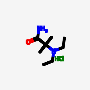 CCN(CC)C(C)(C)C(N)=O.Cl